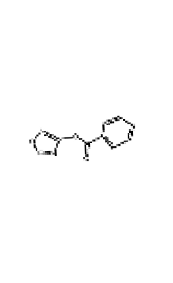 O=C(Oc1ncon1)c1ccccc1